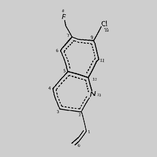 C=Cc1ccc2cc(F)c(Cl)cc2n1